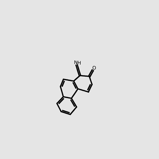 N=C1C(=O)C=Cc2c1ccc1ccccc21